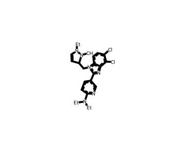 CCN(CC)c1ccc(-c2nc3c(Cl)c(Cl)ccc3n2CC2C=CN(CC)N2C)cn1